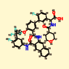 COc1ccc(-c2cc(C(NC(=O)C3CCOCC3)C(=O)O)ccc2F)cc1C(=O)Nc1cc2ccccc2cc1C(=O)Nc1ccc(F)c(C(F)(F)F)c1